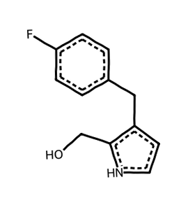 OCc1[nH]ccc1Cc1ccc(F)cc1